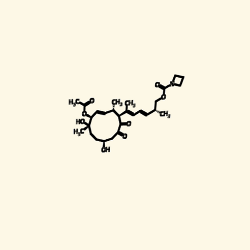 CC(=O)O[C@H]1/C=C/[C@H](C)[C@@H](/C(C)=C/C=C/[C@@H](C)COC(=O)N2CCC2)C(=O)C(=O)C[C@@H](O)CC[C@]1(C)O